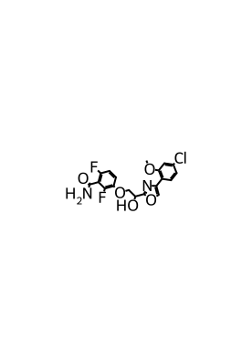 COc1cc(Cl)ccc1-c1coc(C(O)COc2ccc(F)c(C(N)=O)c2F)n1